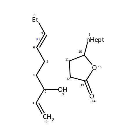 C=CC(O)CC/C=C/CC.CCCCCCCC1CCC(=O)O1